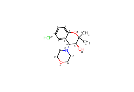 CC1(C)Oc2ccccc2[C@@H](N2CCOCC2)[C@@H]1O.Cl